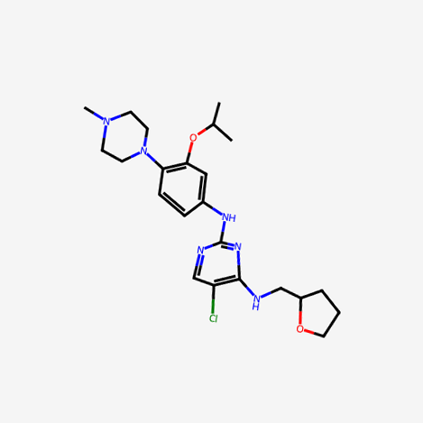 CC(C)Oc1cc(Nc2ncc(Cl)c(NCC3CCCO3)n2)ccc1N1CCN(C)CC1